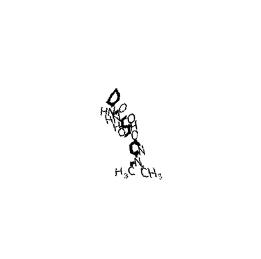 CCN(CC)c1ccc(O[C@H]2CO[C@H]3[C@@H]2OC[C@@H]3NC(=O)NC2CCCCC2)cn1